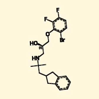 CC(C)(CC1Cc2ccccc2C1)NC[C@@H](O)COc1c(Br)ccc(F)c1F